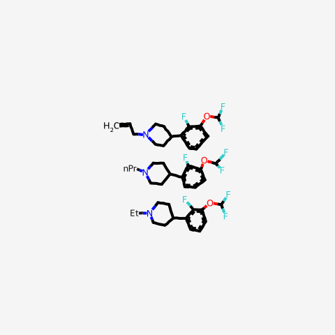 C=CCN1CCC(c2cccc(OC(F)F)c2F)CC1.CCCN1CCC(c2cccc(OC(F)F)c2F)CC1.CCN1CCC(c2cccc(OC(F)F)c2F)CC1